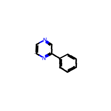 [c]1cncc(-c2ccccc2)n1